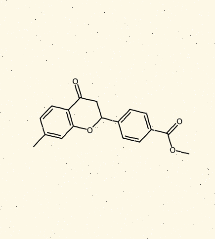 COC(=O)c1ccc(C2CC(=O)c3ccc(C)cc3O2)cc1